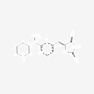 CN(c1nccc(/C=C2\SC(=O)NC2=O)n1)[C@H]1CCCNC1